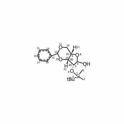 CC(C)(C)[Si](C)(C)O[C@H]1C(O)O[C@H]2COC(c3ccccc3)O[C@H]21